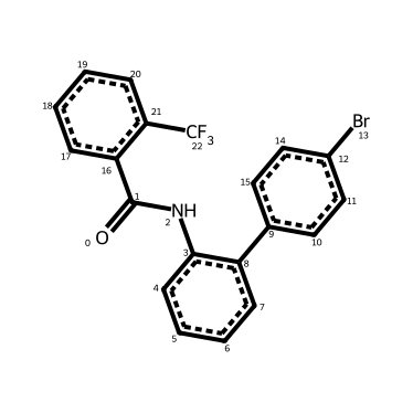 O=C(Nc1ccccc1-c1ccc(Br)cc1)c1ccccc1C(F)(F)F